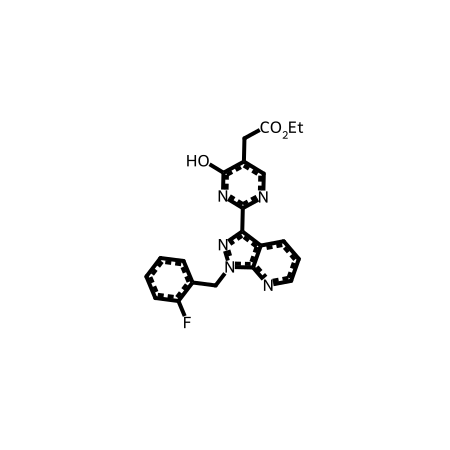 CCOC(=O)Cc1cnc(-c2nn(Cc3ccccc3F)c3ncccc23)nc1O